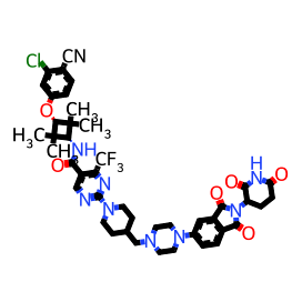 CC1(C)[C@H](NC(=O)c2cnc(N3CCC(CN4CCN(c5ccc6c(c5)C(=O)N(C5CCC(=O)NC5=O)C6=O)CC4)CC3)nc2C(F)(F)F)C(C)(C)[C@H]1Oc1ccc(C#N)c(Cl)c1